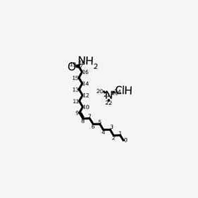 CCCCCCCC/C=C\CCCCCCCC(N)=O.CN(C)C.Cl